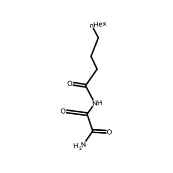 CCCCCCCCCC(=O)NC(=O)C(N)=O